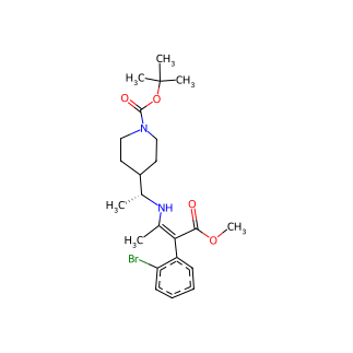 COC(=O)C(=C(C)N[C@H](C)C1CCN(C(=O)OC(C)(C)C)CC1)c1ccccc1Br